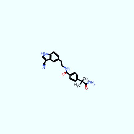 CC(C)(C(N)=O)c1ccc(C(=O)NCCc2ccc3[nH]cc(C#N)c3c2)cc1